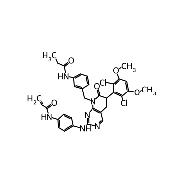 C=CC(=O)Nc1ccc(Nc2ncc3c(n2)N(Cc2cccc(NC(=O)CC)c2)C(=O)C(c2c(Cl)c(OC)cc(OC)c2Cl)C3)cc1